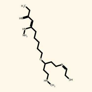 CCC(=N)/C=C(/CCCCCOC(CC/N=C\CO)CCNC)NN